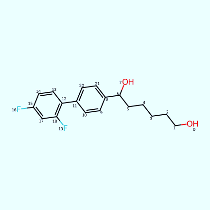 OCCCCCC(O)c1ccc(-c2ccc(F)cc2F)cc1